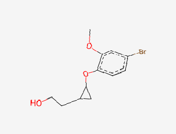 COc1cc(Br)ccc1OC1CC1CCO